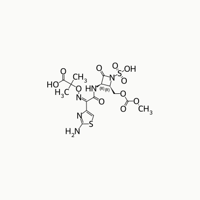 COC(=O)OC[C@H]1[C@@H](NC(=O)C(=NOC(C)(C)C(=O)O)c2csc(N)n2)C(=O)N1S(=O)(=O)O